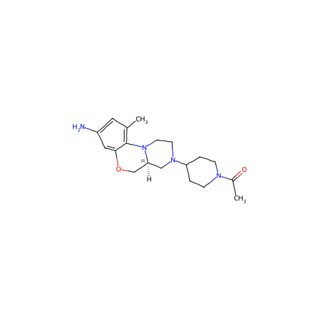 CC(=O)N1CCC(N2CCN3c4c(C)cc(N)cc4OC[C@@H]3C2)CC1